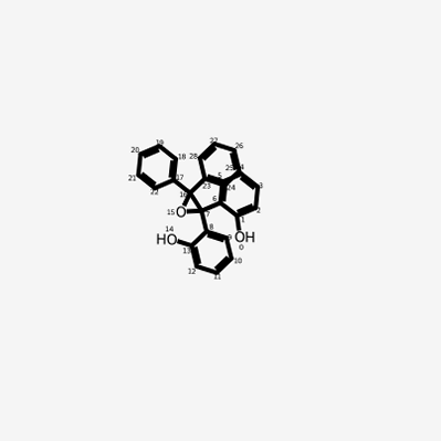 Oc1ccccc1C1(c2ccccc2O)OC1(c1ccccc1)c1ccccc1